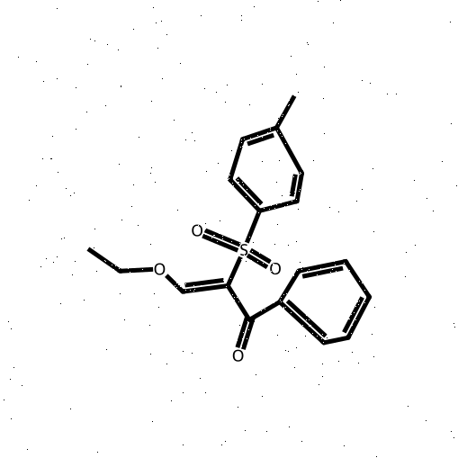 CCO/C=C(/C(=O)c1ccccc1)S(=O)(=O)c1ccc(C)cc1